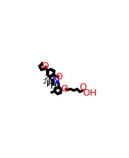 [2H]C([2H])([2H])N(Cc1cc(C)ccc1OCCCCCC(=O)O)C(=O)c1ccc(-c2ccco2)cc1